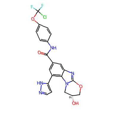 O=C(Nc1ccc(OC(F)(F)Cl)cc1)c1cc(-c2ccn[nH]2)c2c(c1)nc1n2C[C@@H](O)CO1